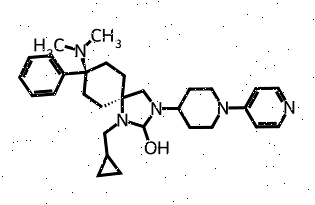 CN(C)[C@]1(c2ccccc2)CC[C@]2(CC1)CN(C1CCN(c3ccncc3)CC1)C(O)N2CC1CC1